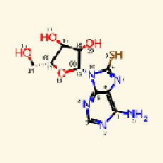 Nc1ncnc2c1nc(S)n2[C@@H]1O[C@H](CO)C(O)C1O